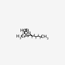 CCCCCC=CC[Si](CC)(CC)CC